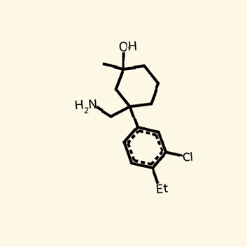 CCc1ccc(C2(CN)CCCC(C)(O)C2)cc1Cl